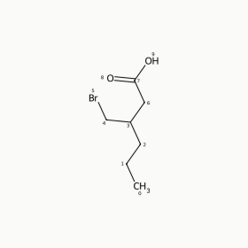 CCCC(CBr)CC(=O)O